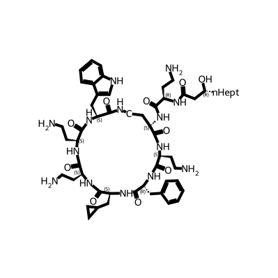 CCCCCCC[C@@H](O)CC(=O)N[C@H](CCN)C(=O)N[C@H]1CCNC(=O)[C@H](Cc2c[nH]c3ccccc23)NC(=O)[C@H](CCN)NC(=O)[C@H](CCN)NC(=O)[C@H](CC2CC2)NC(=O)[C@@H](Cc2ccccc2)NC(=O)[C@H](CCN)NC1=O